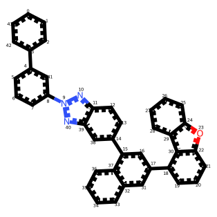 c1ccc(-c2cccc(-n3nc4ccc(-c5cc(-c6cccc7oc8ccccc8c67)cc6ccccc56)cc4n3)c2)cc1